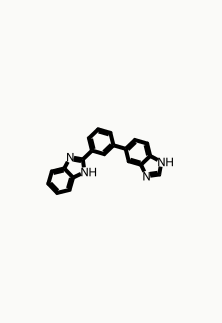 c1cc(-c2ccc3[nH]cnc3c2)cc(-c2nc3ccccc3[nH]2)c1